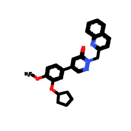 COc1ccc(-c2cnn(Cc3ccc4ccccc4n3)c(=O)c2)cc1OC1CCCC1